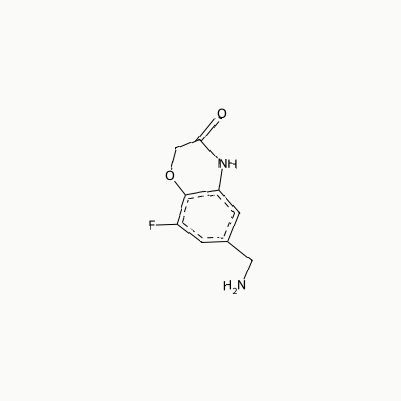 NCc1cc(F)c2c(c1)NC(=O)CO2